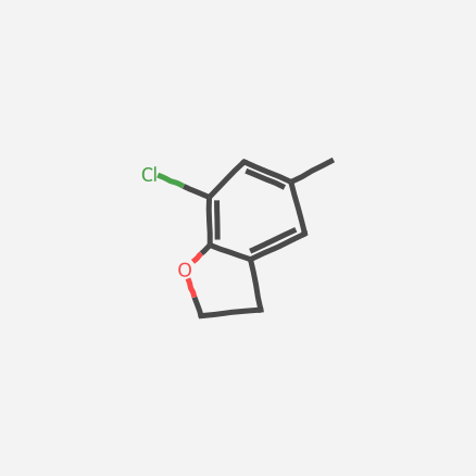 Cc1cc(Cl)c2c(c1)CCO2